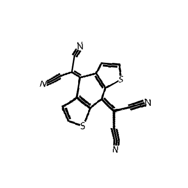 N#CC(C#N)=c1c2ccsc2c(=C(C#N)C#N)c2sccc12